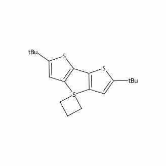 CC(C)(C)c1cc2c(s1)-c1sc(C(C)(C)C)cc1S21CCC1